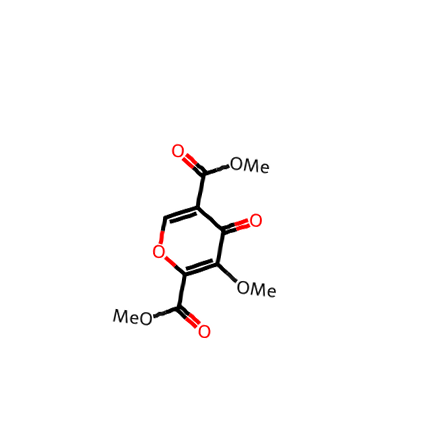 COC(=O)c1occ(C(=O)OC)c(=O)c1OC